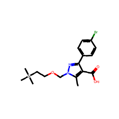 Cc1c(C(=O)O)c(-c2ccc(Br)cc2)nn1COCC[Si](C)(C)C